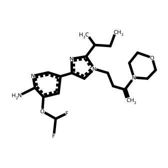 C=C(CCn1cc(-c2cnc(N)c(OC(F)F)c2)nc1C(C)CC)N1CCOCC1